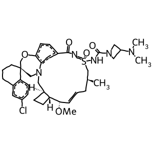 CO[C@H]1/C=C/C[C@H](C)CS(=O)(NC(=O)N2CC(N(C)C)C2)=NC(=O)c2ccc3c(c2)N(C[C@@H]2CC[C@H]21)C[C@@]1(CCCc2cc(Cl)ccc21)CO3